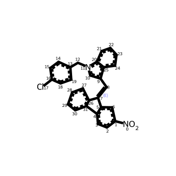 O=[N+]([O-])c1ccc2c(c1)/C(=C/c1cn(Cc3ccc(Cl)cc3)c3ccccc13)c1ccccc1-2